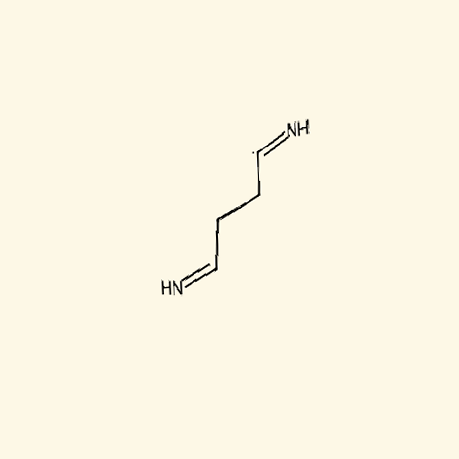 N=[C]CCC=N